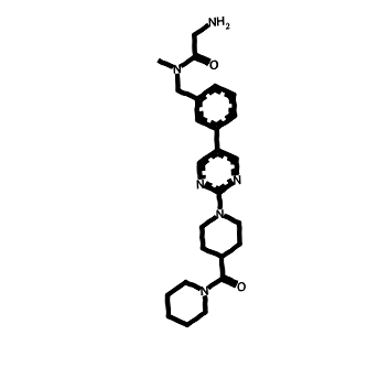 CN(Cc1cccc(-c2cnc(N3CCC(C(=O)N4CCCCC4)CC3)nc2)c1)C(=O)CN